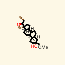 COC[C@@]1(O)CC[C@@]2(C)[C@@H](CC[C@@H]3[C@@H]2CC[C@@]2(C)[C@H]3CCC2(Br)C(=O)CBr)C1